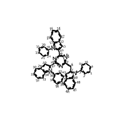 c1ccc(-n2c(Cc3nc(-c4cc5ccccc5n4-c4ccccc4)nc(-c4cc5ccccc5n4-c4ccccc4)n3)cc3ccccc32)cc1